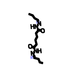 CCC/C=N\NC(=O)CCCCC(=O)N/N=C\CCC